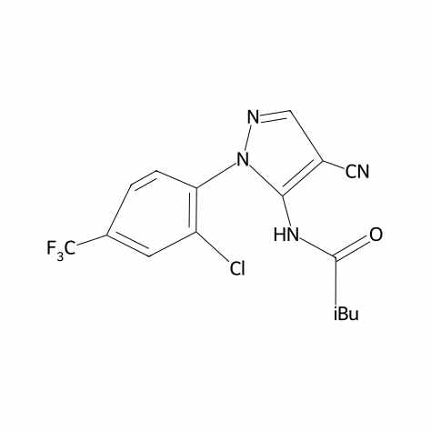 CCC(C)C(=O)Nc1c(C#N)cnn1-c1ccc(C(F)(F)F)cc1Cl